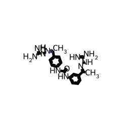 CC(=NNC(=N)N)c1cccc(NC(=O)Nc2ccc(/C(C)=N\NC(=N)N)cc2)c1